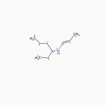 CC=CNC(CC)CCC